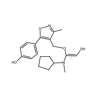 Cc1noc(-c2ccc(O)cc2)c1CO/C(=C\O)N(C)C1CCCC1